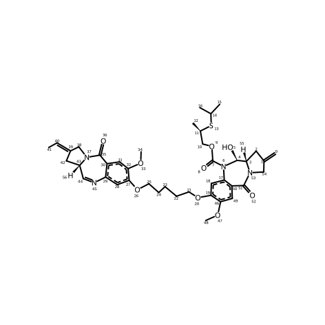 C=C1C[C@H]2[C@H](O)N(C(=O)OC[C@@H](C)SC(C)C)c3cc(OCCCCCOc4cc5c(cc4OC)C(=O)N4C/C(=C/C)C[C@H]4C=N5)c(OC)cc3C(=O)N2C1